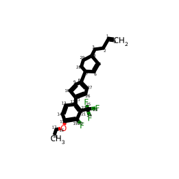 C=CCCC1C=CC(c2ccc(-c3ccc(OCC)c(F)c3C(F)(F)F)cc2)CC1